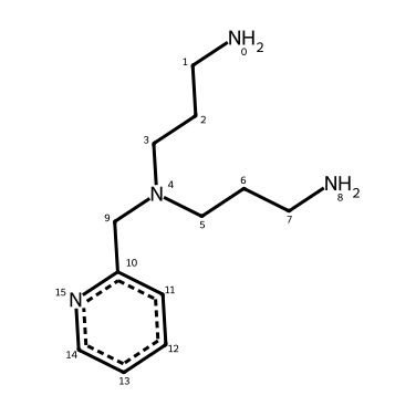 NCCCN(CCCN)Cc1ccccn1